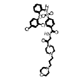 O=C(NCC(=O)N1CCN(CCCN2CCOCC2)CC1)c1ccc(S(=O)(=O)Nc2ccccc2Oc2ccc(Cl)cc2Cl)cc1